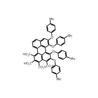 CC(C)(C)c1ccc(Oc2cc3cccc4c5c(C(=O)O)c(C(=O)O)c(C(=O)O)c6c(C(=O)O)c(Oc7ccc(C(C)(C)C)cc7)c(Oc7ccc(C(C)(C)C)cc7)c(c(c2Oc2ccc(C(C)(C)C)cc2)c34)c65)cc1